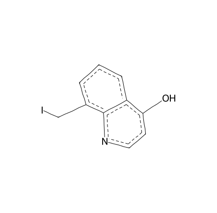 Oc1ccnc2c(CI)cccc12